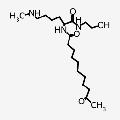 CNCCCCC(NC(=O)CCCCCCCCC(C)=O)C(=O)NCCO